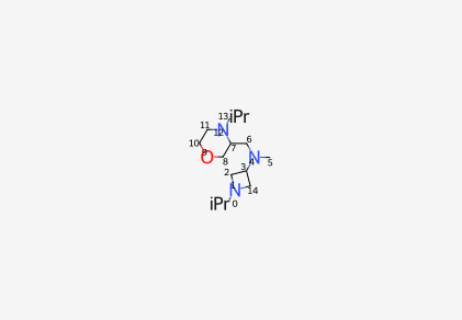 CC(C)N1CC(N(C)CC2COCCN2C(C)C)C1